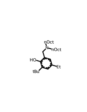 CCCCCCCCN(CCCCCCCC)Cc1cc(CC)cc(C(C)(C)C)c1O